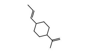 C=C(C)C1CCC(C=CC)CC1